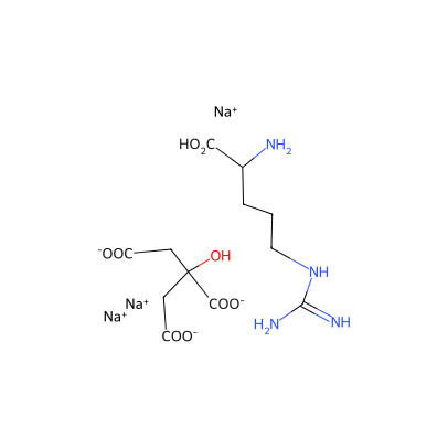 N=C(N)NCCCC(N)C(=O)O.O=C([O-])CC(O)(CC(=O)[O-])C(=O)[O-].[Na+].[Na+].[Na+]